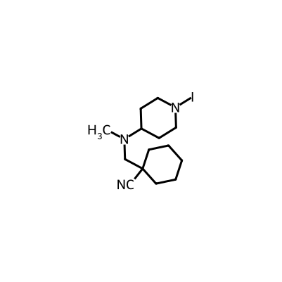 CN(CC1(C#N)CCCCC1)C1CCN(I)CC1